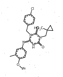 Cc1cc(/N=c2\[nH]c(=O)n(CC3(C(=O)O)CC3)c(=O)n2Cc2ccc(Cl)cc2)ccc1OC(C)C